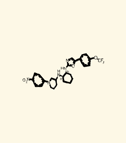 O=[N+]([O-])c1ccc(N2CCCC(N[C@@H]3CCCC[C@H]3Nc3ncc(-c4ccc(OC(F)(F)F)cc4)o3)C2)cc1